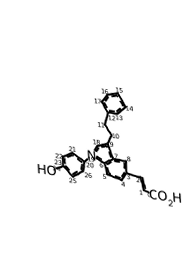 O=C(O)C=Cc1ccc2c(c1)c(CCc1ccccc1)cn2-c1ccc(O)cc1